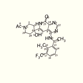 CC(=O)N1CCC(O)(c2cc3c(NC(C)c4cccc(C(F)(F)F)c4C)ncnc3c(=O)[nH]2)CC1